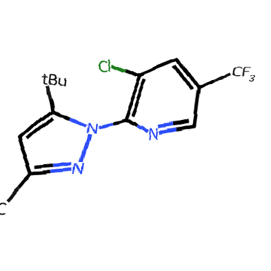 CC(C)(C)c1cc(C(F)(F)F)nn1-c1ncc(C(F)(F)F)cc1Cl